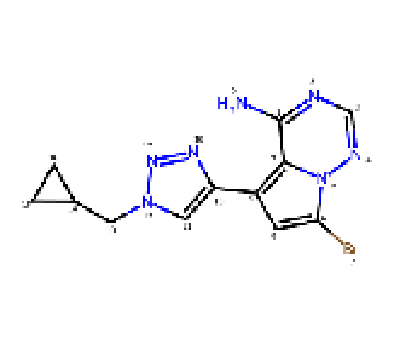 Nc1ncnn2c(Br)cc(-c3cn(CC4CC4)nn3)c12